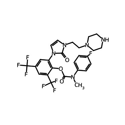 CN(C(=O)Oc1c(-n2ccn(CCN3CCNCC3)c2=O)cc(C(F)(F)F)cc1C(F)(F)F)c1ccc(F)cc1